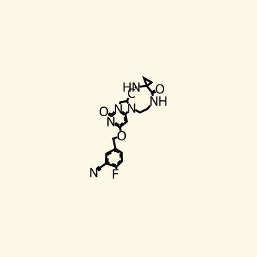 N#Cc1cc(COc2cc3n(c(=O)n2)CC2CNC4(CC4)C(=O)NCCN32)ccc1F